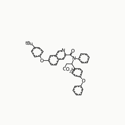 CC(C)(C)c1ccc(Oc2ccc3cc(C(=O)N(c4ccccc4)C(CC(=O)O)c4ccc(Oc5ccccc5)cc4)ncc3c2)cc1